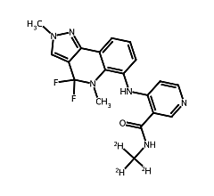 [2H]C([2H])([2H])NC(=O)c1cnccc1Nc1cccc2c1N(C)C(F)(F)c1cn(C)nc1-2